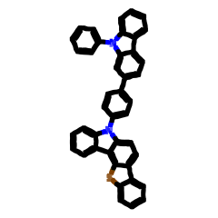 c1ccc(-n2c3ccccc3c3ccc(-c4ccc(-n5c6ccccc6c6c7sc8ccccc8c7ccc65)cc4)cc32)cc1